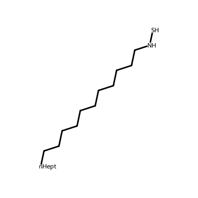 CCCCCCCCCCCCCCCCCCNS